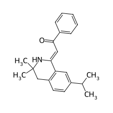 CC(C)c1ccc2c(c1)C(=CC(=O)c1ccccc1)NC(C)(C)C2